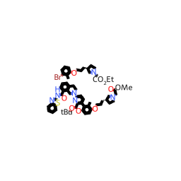 CCOC(=O)CN1CC[C@H](CCCOc2cccc(Br)c2C)C1.COC(=O)CN1CC[C@H](CCCOc2cccc(-c3ccc(N4CCc5cccc(C(=O)Nc6nc7ccccc7s6)c5C4)nc3C(=O)OC(C)(C)C)c2C)C1